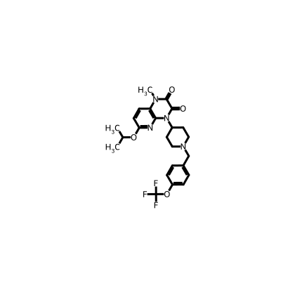 CC(C)Oc1ccc2c(n1)n(C1CCN(Cc3ccc(OC(F)(F)F)cc3)CC1)c(=O)c(=O)n2C